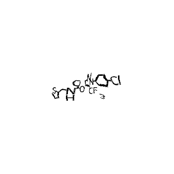 O=C(NCc1cccs1)Oc1cnn(-c2ccc(Cl)cc2)c1C(F)(F)F